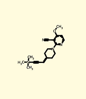 COc1ccnc(N2CCC(=CC#C[Si](C)(C)C)CC2)c1C#N